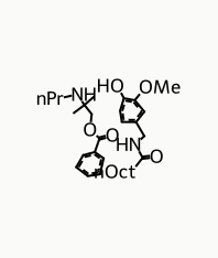 CCCCCCCCC(=O)NCc1ccc(O)c(OC)c1.CCCNC(C)(C)COC(=O)c1ccccc1